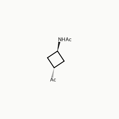 CC(=O)N[C@H]1C[C@H](C(C)=O)C1